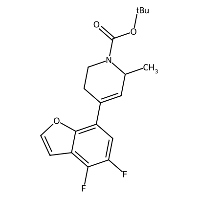 CC1C=C(c2cc(F)c(F)c3ccoc23)CCN1C(=O)OC(C)(C)C